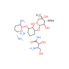 CN[C@@H]1[C@@H](O)[C@@H](O[C@@H]2[C@H](O)[C@H](O[C@H]3O[C@H](CN)CC[C@H]3N)[C@@H](N)C[C@H]2NC(=O)[C@@H](O)[C@H](N)CO)OC[C@]1(C)O